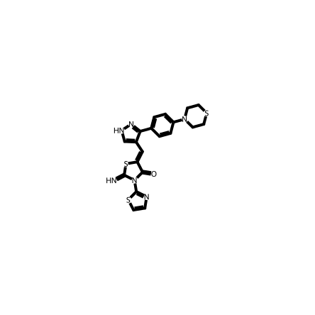 N=C1S/C(=C\c2c[nH]nc2-c2ccc(N3CCSCC3)cc2)C(=O)N1c1nccs1